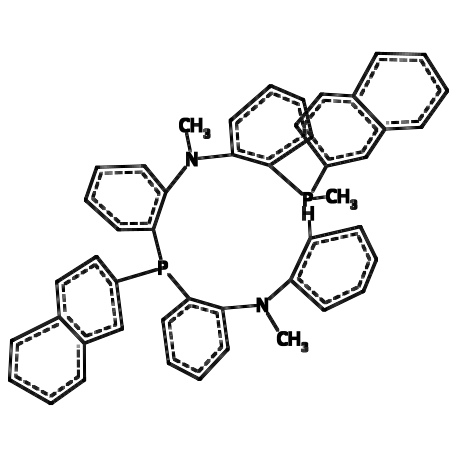 CN1c2ccccc2P(c2ccc3ccccc3c2)c2ccccc2N(C)c2ccccc2[PH](C)(c2ccc3ccccc3c2)c2ccccc21